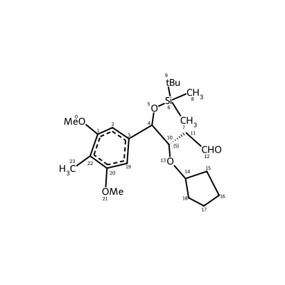 COc1cc(C(O[Si](C)(C)C(C)(C)C)[C@H](CC=O)OC2CCCC2)cc(OC)c1C